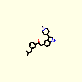 CC(C)Cc1cccc(C(=O)Cc2ccc3[nH]cc(C4CCN(C)CC4)c3c2)c1